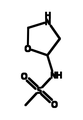 CS(=O)(=O)NC1CNCO1